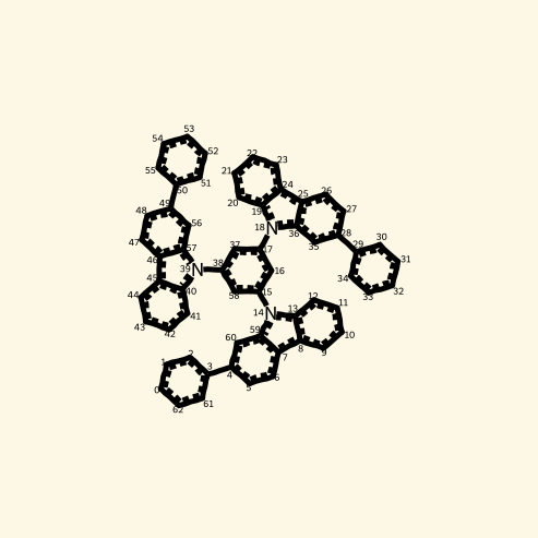 c1ccc(-c2ccc3c4ccccc4n(-c4cc(-n5c6ccccc6c6ccc(-c7ccccc7)cc65)cc(-n5c6ccccc6c6ccc(-c7ccccc7)cc65)c4)c3c2)cc1